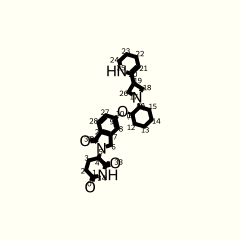 O=C1CCC(N2Cc3cc(O[C@@H]4CCCC[C@H]4N4CC(C5=CCCCN5)C4)ccc3C2=O)C(=O)N1